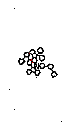 c1ccc(-c2cccc(-c3ccc(N(c4ccc5c(c4)C(c4ccccc4)(c4ccccc4)c4ccccc4-5)c4c(-c5ccc(-c6ccccc6-c6ccccc6)cc5)c5ccccc5c5ccccc45)cc3)c2)cc1